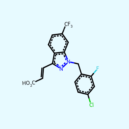 O=C(O)C=Cc1nn(Cc2ccc(Cl)cc2F)c2cc(C(F)(F)F)ccc12